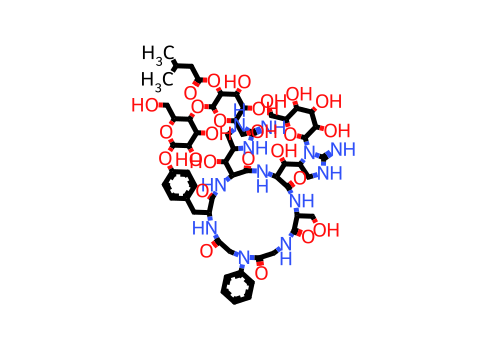 CC(C)CC(=O)OC1C(OC2C(CO)OC(Oc3ccc(CC4NC(=O)CN(c5ccccc5)C(=O)CNC(=O)C(CO)NC(=O)C(C(O)C5CNC(=N)N5C5OC(CO)C(O)C(O)C5O)NC(=O)C(C(O)C5CNC(=N)N5)NC4=O)cc3)C(O)C2O)OC(CO)C(O)C1O